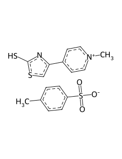 C[n+]1ccc(-c2csc(S)n2)cc1.Cc1ccc(S(=O)(=O)[O-])cc1